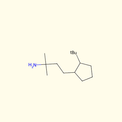 CC(C)(N)CCC1CCCC1C(C)(C)C